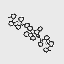 Cc1ccccc1-c1cccc2c1oc1c(N(c3ccccc3)c3ccc4cc5c(cc4c3)C3(c4ccccc4-c4ccccc43)c3c-5c4ccccc4c4cc(N(c5ccccc5)c5cccc6c5oc5c(-c7ccccc7C)cccc56)ccc34)cccc12